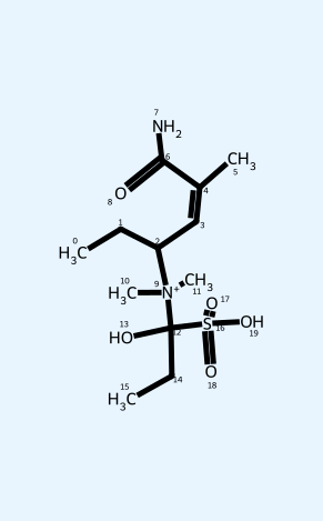 CCC(C=C(C)C(N)=O)[N+](C)(C)C(O)(CC)S(=O)(=O)O